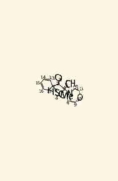 CSC1(C(=O)C(C)(C)N2CCOCC2)C=CC=CC1